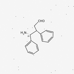 N[C@@H](c1ccccc1)C(CC=O)c1ccccc1